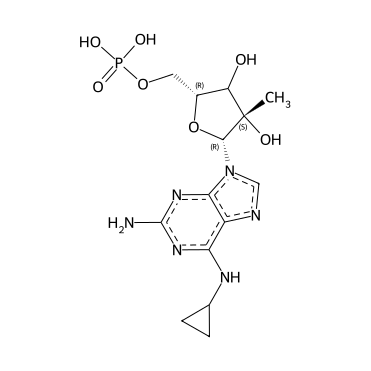 C[C@]1(O)C(O)[C@@H](COP(=O)(O)O)O[C@H]1n1cnc2c(NC3CC3)nc(N)nc21